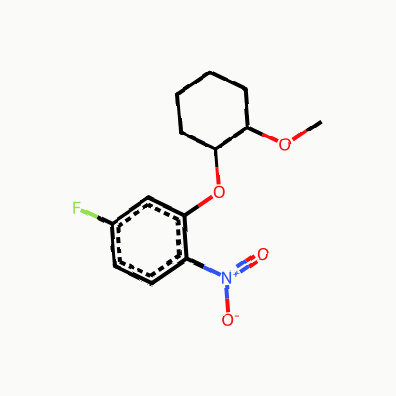 COC1CCCCC1Oc1cc(F)ccc1[N+](=O)[O-]